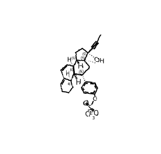 CC#C[C@]1(O)CC[C@H]2[C@@H]3C=CC4=CCCC[C@@H]4[C@H]3[C@@H](c3ccc(OS(=O)(=O)C(F)(F)F)cc3)C[C@@]21C